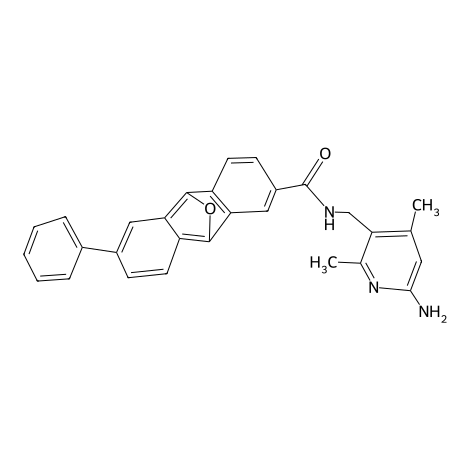 Cc1cc(N)nc(C)c1CNC(=O)c1ccc2c(c1)c1oc2c2cc(-c3ccccc3)ccc21